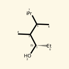 CC[C@H](O)C(C)C(C)C(C)C